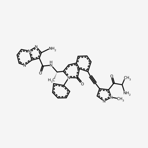 CC(N)C(=O)c1c(C#Cc2cccc3cc([C@H](C)NC(=O)c4c(N)nn5cccnc45)n(-c4ccccc4)c(=O)c23)cnn1C